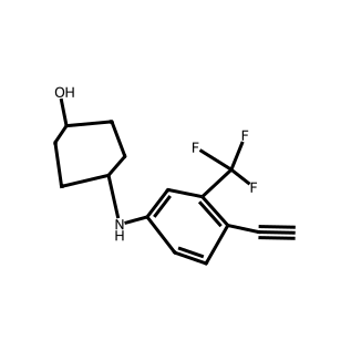 C#Cc1ccc(NC2CCC(O)CC2)cc1C(F)(F)F